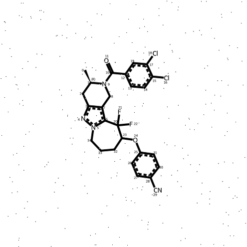 C[C@@H]1Cc2nn3c(c2CN1C(=O)c1ccc(Cl)c(Cl)c1)C(F)(F)C(Oc1ccc(C#N)cc1)CCC3